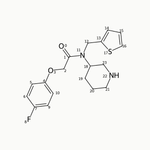 O=C(COc1ccc(F)cc1)N(Cc1cccs1)C1CCCNC1